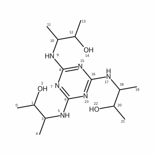 CC(O)C(C)Nc1nc(NC(C)C(C)O)nc(NC(C)C(C)O)n1